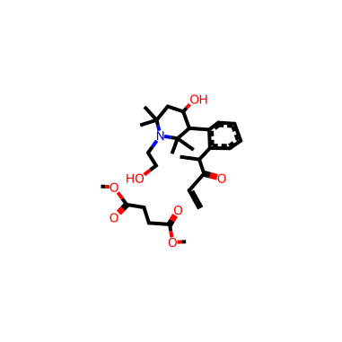 C=CC(=O)C(C)c1ccccc1C1C(O)CC(C)(C)N(CCO)C1(C)C.COC(=O)CCC(=O)OC